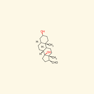 C[C@]12CC[C@H](O)C[C@@H]1CC[C@@H]1[C@@H]2CC[C@]2(C)[C@@H](C=O)CC[C@]12O